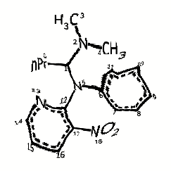 CCCC(N(C)C)N(c1ccccc1)c1ncccc1[N+](=O)[O-]